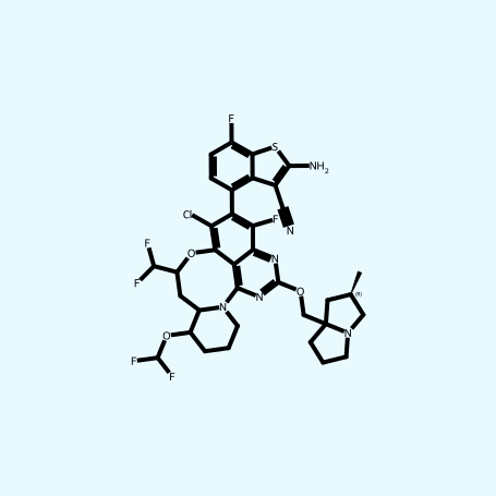 C[C@H]1CN2CCCC2(COc2nc3c4c(c(Cl)c(-c5ccc(F)c6sc(N)c(C#N)c56)c(F)c4n2)OC(C(F)F)CC2C(OC(F)F)CCCN32)C1